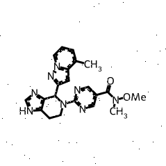 CON(C)C(=O)c1cnc(N2CCc3[nH]cnc3C2c2cc3c(C)cccn3n2)nc1